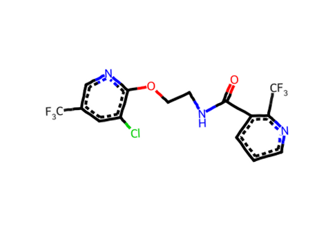 O=C(NCCOc1ncc(C(F)(F)F)cc1Cl)c1cccnc1C(F)(F)F